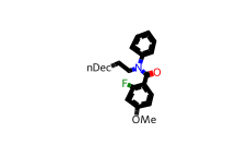 CCCCCCCCCCCCN(C(=O)c1ccc(OC)cc1F)c1ccccc1